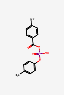 CCCc1ccc(C(=O)OP(=O)(O)Oc2ccc(C)cc2)cc1